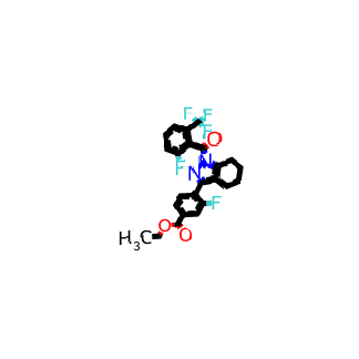 CCOC(=O)c1ccc(-c2nn(C(=O)c3c(F)cccc3C(F)(F)F)c3c2CCCC3)c(F)c1